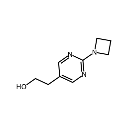 OCCc1cnc(N2CCC2)nc1